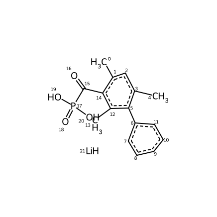 Cc1cc(C)c(-c2ccccc2)c(C)c1C(=O)P(=O)(O)O.[LiH]